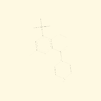 COc1c(C(=O)N2CCNCC2)cc(C)cc1C(C)(C)C